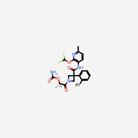 Cc1ccc(NC(=O)C2(c3ccccc3C(C)C)CN(C(=O)[C@H](C)OC(N)=O)C2)c(OC(F)F)n1